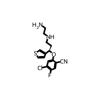 N#Cc1cc(F)c(Cl)cc1O[C@H](CCNCCN)c1ccsc1